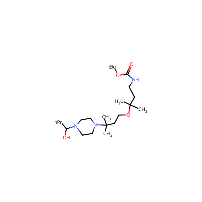 CCCC(O)N1CCN(C(C)(C)CCOC(C)(C)CCNC(=O)OC(C)(C)C)CC1